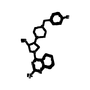 OC1CN(c2nc(C(F)(F)F)nc3ccccc23)CC1N1CCN(Cc2ccc(Cl)cc2)CC1